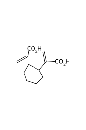 C=C(C(=O)O)C1CCCCC1.C=CC(=O)O